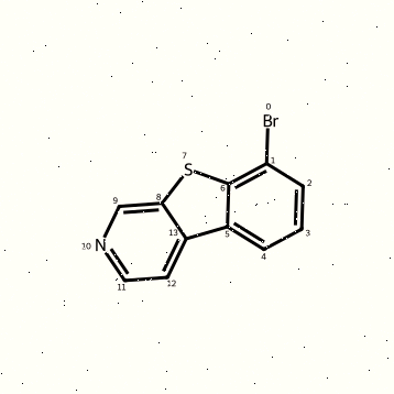 Brc1cccc2c1sc1cnccc12